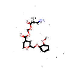 CCOc1ccccc1OCC1CC(C(=O)OCOC(=O)[C@@H](CN)C(C)C)CCO1